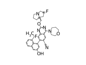 CCc1cccc2cc(O)cc(-c3c(C#N)cc4c(N5CCCOCC5)nc(OC[C@@]56CCCN5C[C@H](F)C6)nc4c3F)c12